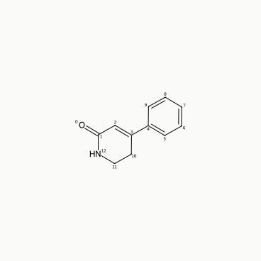 O=C1C=C(c2ccccc2)CCN1